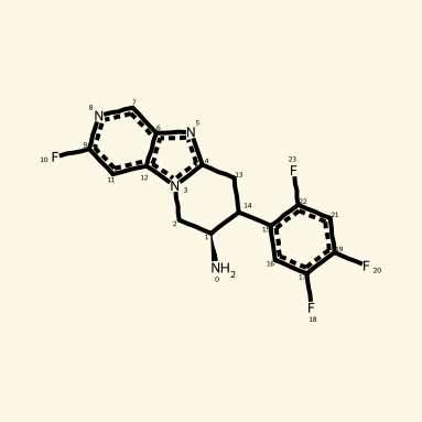 N[C@H]1Cn2c(nc3cnc(F)cc32)CC1c1cc(F)c(F)cc1F